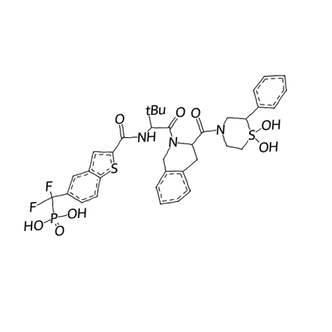 CC(C)(C)C(NC(=O)c1cc2cc(C(F)(F)P(=O)(O)O)ccc2s1)C(=O)N1Cc2ccccc2CC1C(=O)N1CCS(O)(O)C(c2ccccc2)C1